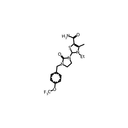 CCN1C(C)=C(C(N)=O)SC1N1CCN(Cc2ccc(OC(F)(F)F)cc2)C1=O